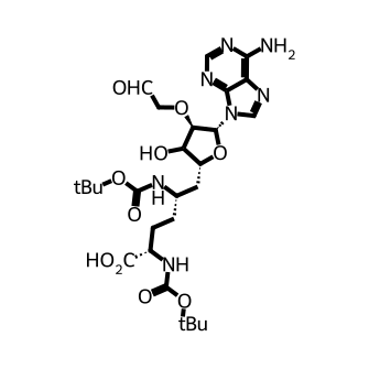 CC(C)(C)OC(=O)N[C@@H](CC[C@H](NC(=O)OC(C)(C)C)C(=O)O)C[C@H]1O[C@@H](n2cnc3c(N)ncnc32)[C@H](OCC=O)C1O